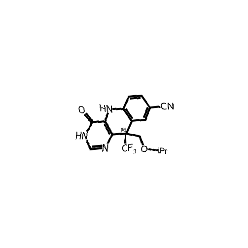 CC(C)OC[C@@]1(C(F)(F)F)c2cc(C#N)ccc2Nc2c1nc[nH]c2=O